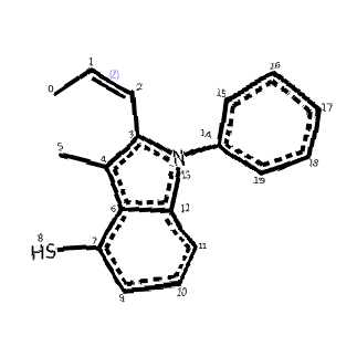 C/C=C\c1c(C)c2c(S)cccc2n1-c1ccccc1